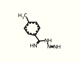 Cc1ccc(C(=N)NN=N)cc1